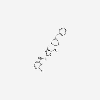 Cc1nc(SNc2cccc(F)n2)sc1N(C)C1CCN(Cc2ccccc2)CC1